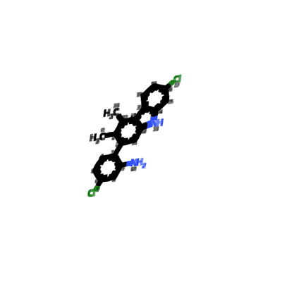 Cc1c(-c2ccc(Cl)cc2N)cc2[nH]c3cc(Cl)ccc3c2c1C